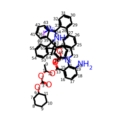 CC(OC(=O)OC1CCCCC1)OC(=O)c1cccc(N)c1N(Cc1ccc(-c2ccccc2/C(=N/I)NC(c2ccccc2)(c2ccccc2)c2ccccc2)cc1)C(=O)OC(C)(C)C